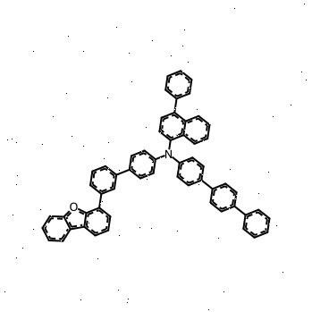 c1ccc(-c2ccc(-c3ccc(N(c4ccc(-c5cccc(-c6cccc7c6oc6ccccc67)c5)cc4)c4ccc(-c5ccccc5)c5ccccc45)cc3)cc2)cc1